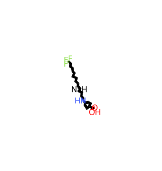 O=C(O)c1ccc(NCCCCCCCCCCCCCCCC(F)(F)F)cc1.[NaH]